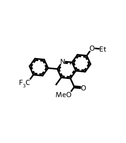 CCOc1ccc2c(C(=O)OC)c(C)c(-c3cccc(C(F)(F)F)c3)nc2c1